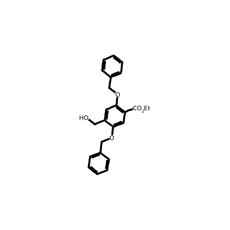 CCOC(=O)c1cc(OCc2ccccc2)c(CO)cc1OCc1ccccc1